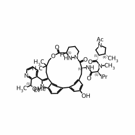 CCn1c(-c2cccnc2[C@H](C)OC)c2c3cc(ccc31)-c1cc(O)cc(c1)C[C@H](NC(=O)[C@H](C(C)C)N(C)C(=O)[C@@H]1CN(C(C)=O)C[C@@H]1C)C(=O)N1CCC[C@H](N1)C(=O)OCC(C)(C)C2